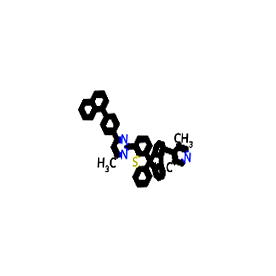 Cc1cc(-c2ccc(-c3cccc4ccccc34)cc2)nc(-c2cccc3c2Sc2ccccc2C32c3ccccc3-c3c(-c4c(C)cncc4C)cccc32)n1